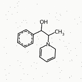 CC(C(O)c1ccccc1)N1C=CC=CC1